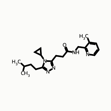 Cc1cccnc1CNC(=O)CCc1nnc(CCC(C)C)n1C1CC1